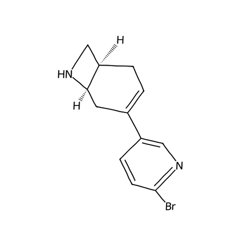 Brc1ccc(C2=CC[C@@H]3CN[C@@H]3C2)cn1